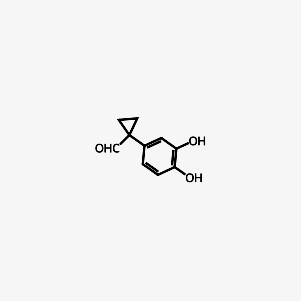 O=CC1(c2ccc(O)c(O)c2)CC1